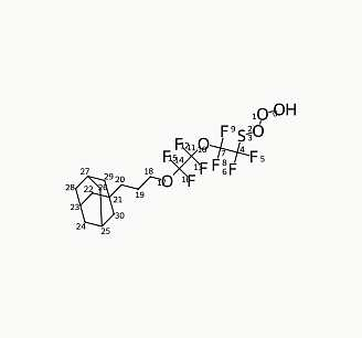 OOOSC(F)(F)C(F)(F)OC(F)(F)C(F)(F)OCCCC12CC3CC(CC(C3)C1)C2